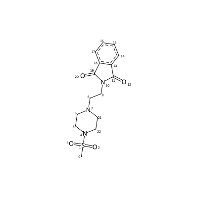 CS(=O)(=O)N1CCN(CCN2C(=O)c3ccccc3C2=O)CC1